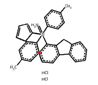 Cc1cc[c]([Zr](=[SiH2])([C]2=CC=CC2)([c]2ccc(C)cc2)[c]2cccc3c2Cc2ccccc2-3)cc1.Cl.Cl